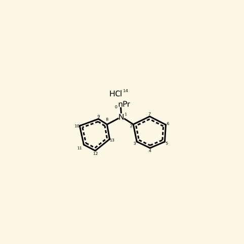 CCCN(c1ccccc1)c1ccccc1.Cl